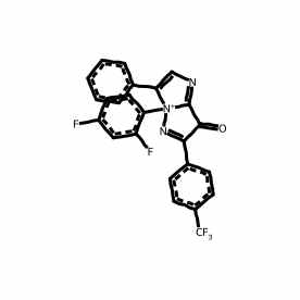 O=C1C(c2ccc(C(F)(F)F)cc2)=N[N+]2(c3ccc(F)cc3F)C(c3ccccc3)=CN=C12